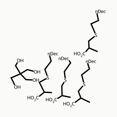 CCCCCCCCCCCCSCC(C)C(=O)O.CCCCCCCCCCCCSCC(C)C(=O)O.CCCCCCCCCCCCSCC(C)C(=O)O.CCCCCCCCCCCCSCC(C)C(=O)O.OCC(CO)(CO)CO